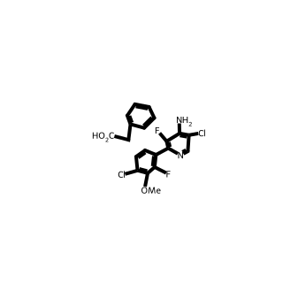 COc1c(Cl)ccc(-c2ncc(Cl)c(N)c2F)c1F.O=C(O)Cc1ccccc1